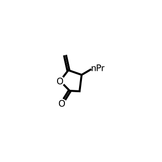 C=C1OC(=O)CC1CCC